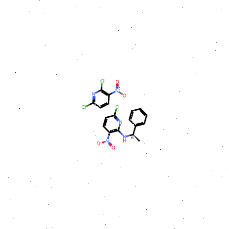 C[C@@H](Nc1nc(Cl)ccc1[N+](=O)[O-])c1ccccc1.O=[N+]([O-])c1ccc(Cl)nc1Cl